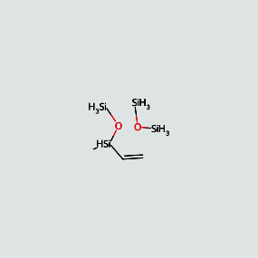 C=C[SiH](C)O[SiH3].[SiH3]O[SiH3]